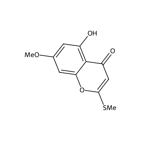 COc1cc(O)c2c(=O)cc(SC)oc2c1